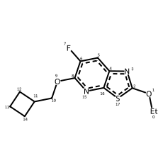 CCOc1nc2cc(F)c(OCC3CCC3)nc2s1